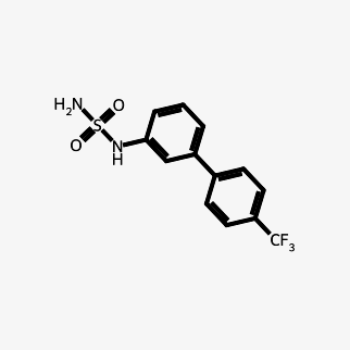 NS(=O)(=O)Nc1cccc(-c2ccc(C(F)(F)F)cc2)c1